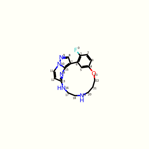 Fc1ccc2cc1-c1cnn3ccc(nc13)NCCNCCCO2